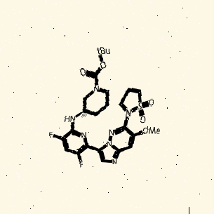 COc1cc2ncc(-c3nc(N[C@@H]4CCCN(C(=O)OC(C)(C)C)C4)c(F)cc3F)n2nc1N1CCCS1(=O)=O